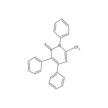 FC(F)(F)c1cc(-c2ccccc2)c(-c2ccccc2)c(=S)n1-c1ccccc1